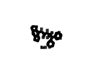 O=C(Nc1c2c(cc3c1CCC3)CCC2)NS(=O)(=O)N(c1cncnc1)C1CCOCC1.[NaH]